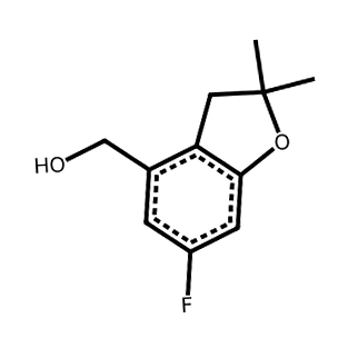 CC1(C)Cc2c(CO)cc(F)cc2O1